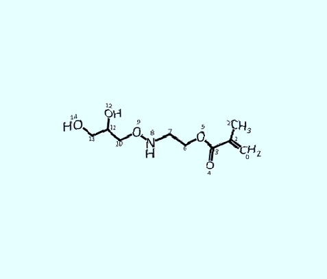 C=C(C)C(=O)OCCNOCC(O)CO